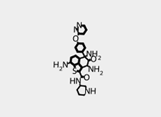 Nc1ccc2c3c(c(C(=O)NC4CCCNC4)sc13)C(N)C(=O)C2(N)c1ccc(Oc2cccnn2)cc1